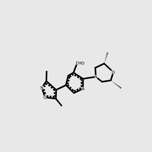 Cc1noc(C)c1-c1cnc(N2C[C@@H](C)O[C@@H](C)C2)c(C=O)c1